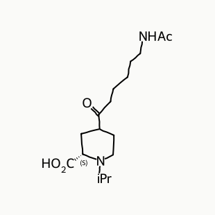 CC(=O)NCCCCCC(=O)C1CCN(C(C)C)[C@H](C(=O)O)C1